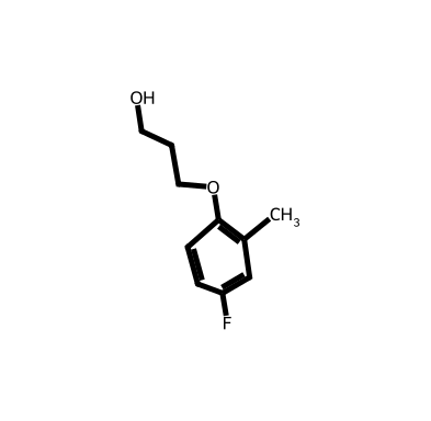 Cc1cc(F)ccc1OCCCO